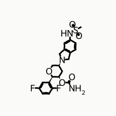 CS(=O)(=O)Nc1ccc2c(c1)CN([C@H]1CO[C@H](c3cc(F)ccc3F)[C@@H](OC(N)=O)C1)C2